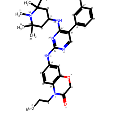 COCCN1C(=O)COc2cc(Nc3ncc(-c4cccc(C#N)c4)c(NC4CC(C)(C)N(C)C(C)(C)C4)n3)ccc21